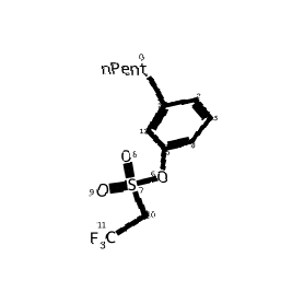 CCCCCc1cccc(OS(=O)(=O)CC(F)(F)F)c1